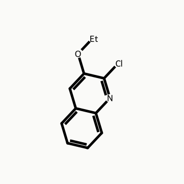 CCOc1cc2ccccc2nc1Cl